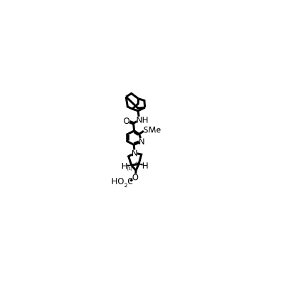 CSc1nc(N2C[C@@H]3C(OC(=O)O)[C@@H]3C2)ccc1C(=O)NC1C2CC3CC(C2)CC1C3